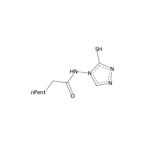 CCCCCCC(=O)Nn1cnnc1S